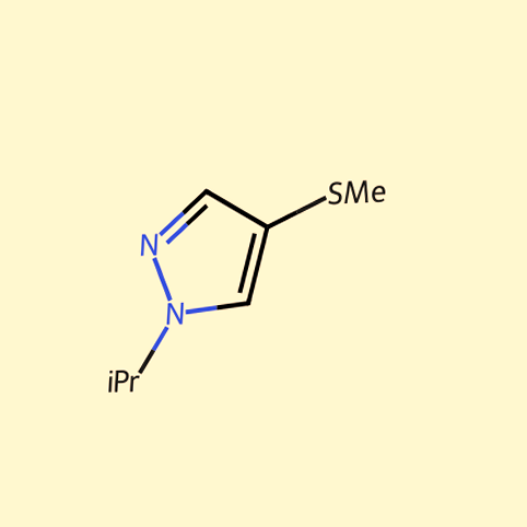 CSc1cnn(C(C)C)c1